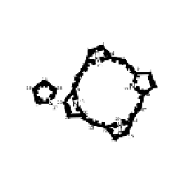 C1=Cc2cc3ccc(cc4nc(cc5ccc(cc1n2)[nH]5)C=C4)[nH]3.c1ccsc1